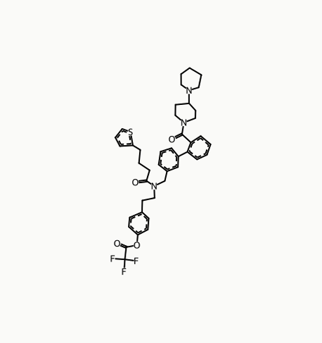 O=C(CCCc1cccs1)N(CCc1ccc(OC(=O)C(F)(F)F)cc1)Cc1cccc(-c2ccccc2C(=O)N2CCC(N3CCCCC3)CC2)c1